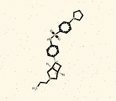 CCCN1C[C@@H]2C[C@@H](c3ccc(NS(=O)(=O)c4ccc(N5CCCC5)cc4)cc3)[C@@H]2C1